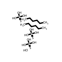 CCCCCC.CCCCCC.Cl.OP(O)(O)=S.OP(O)(O)=S.OP(O)(O)=S